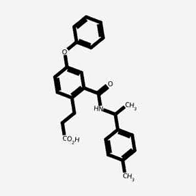 Cc1ccc(C(C)NC(=O)c2cc(Oc3ccccc3)ccc2CCC(=O)O)cc1